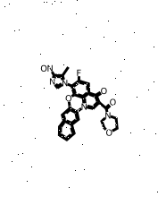 Cc1c(N=O)ncn1-c1c(F)cc2c(=O)c(C(=O)N3CCOCC3)cn3c2c1Oc1cc2ccccc2cc1-3